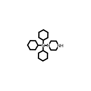 C1CCC([Si](C2CCCCC2)(C2CCCCC2)N2CCNCC2)CC1